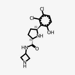 O=C(NC1CNC1)[C@@H]1CC[C@@H](c2c(O)ccc(Cl)c2Cl)N1